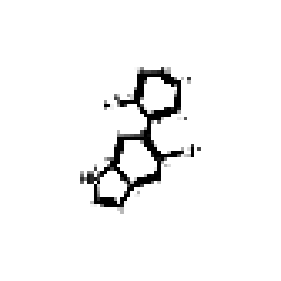 Clc1cc2cc[nH]c2cc1-c1ccccc1Br